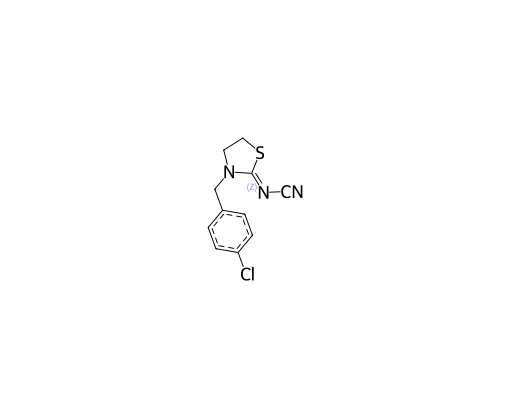 N#C/N=C1\SCCN1Cc1ccc(Cl)cc1